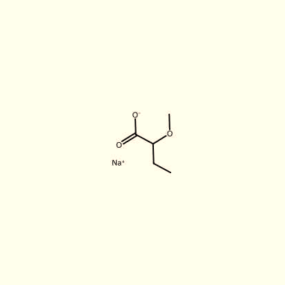 CCC(OC)C(=O)[O-].[Na+]